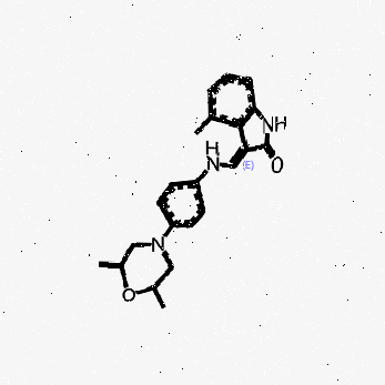 Cc1cccc2c1/C(=C\Nc1ccc(N3CC(C)OC(C)C3)cc1)C(=O)N2